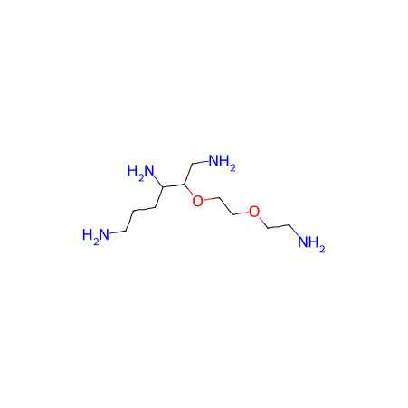 NCCCC(N)C(CN)OCCOCCN